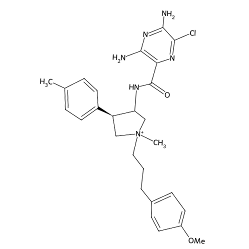 COc1ccc(CCC[N+]2(C)CC(NC(=O)c3nc(Cl)c(N)nc3N)[C@H](c3ccc(C)cc3)C2)cc1